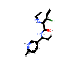 C=C/C(Cl)=C(\N=C/C)C(=O)NC(CC)c1ccc(C)nc1